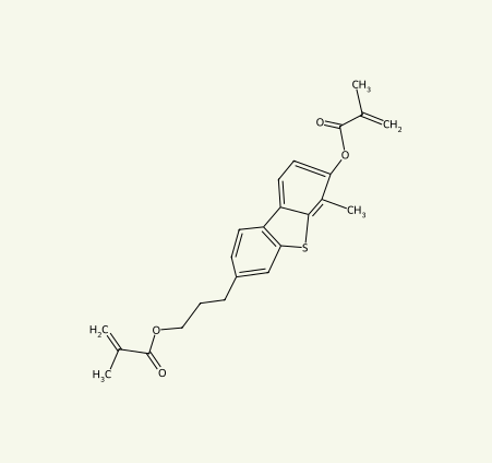 C=C(C)C(=O)OCCCc1ccc2c(c1)sc1c(C)c(OC(=O)C(=C)C)ccc12